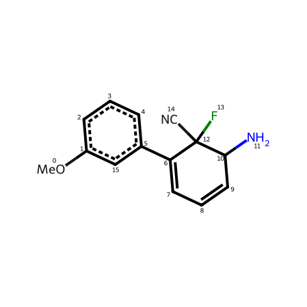 COc1cccc(C2=CC=CC(N)C2(F)C#N)c1